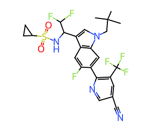 CC(C)(C)Cn1cc(C(NS(=O)(=O)C2CC2)C(F)F)c2cc(F)c(-c3ncc(C#N)cc3C(F)(F)F)cc21